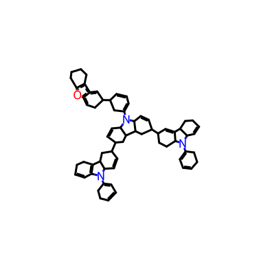 C1=CCCC(N2C3=C(CCC=C3)C3CC(C4C=CC5C(C4)C4CC(C6C=C7C8CCC=CC8N(C8=CC=CCC8)C7CC6)C=CC4N5C4=CC=CC(C5C=c6c7c(oc6=CC5)CCCC7)C4)C=CC32)=C1